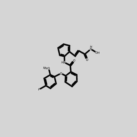 COc1cc(F)ccc1Oc1ccccc1C(=O)Nc1ccccc1C=CC(=O)NO